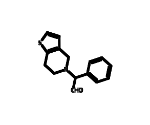 O=CC(c1ccccc1)N1CCc2sccc2C1